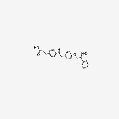 CON=C(COc1ccc(CNc2ccc(CCC(=O)O)cc2)cc1)c1ccccc1